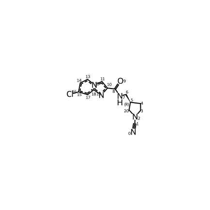 N#CN1CC[C@H](CNC(=O)c2cn3ccc(Cl)cc3n2)C1